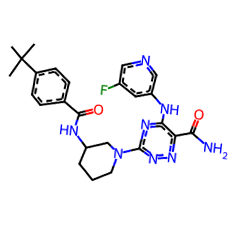 CC(C)(C)c1ccc(C(=O)NC2CCCN(c3nnc(C(N)=O)c(Nc4cncc(F)c4)n3)C2)cc1